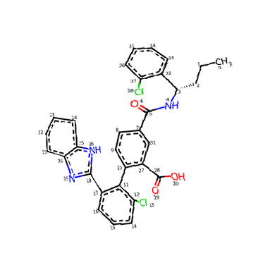 CCC[C@H](NC(=O)c1ccc(-c2c(Cl)cccc2-c2nc3ccccc3[nH]2)c(C(=O)O)c1)c1ccccc1Cl